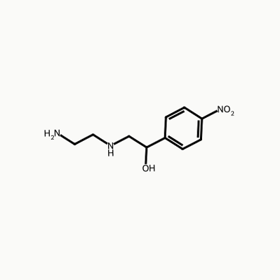 NCCNCC(O)c1ccc([N+](=O)[O-])cc1